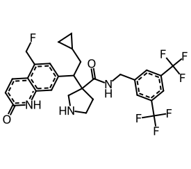 O=C(NCc1cc(C(F)(F)F)cc(C(F)(F)F)c1)C1(C(CC2CC2)c2cc(CF)c3ccc(=O)[nH]c3c2)CCNC1